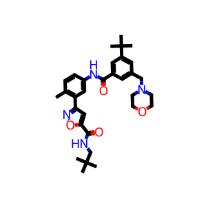 Cc1ccc(NC(=O)c2cc(CN3CCOCC3)cc(C(C)(C)C)c2)cc1-c1cc(C(=O)NCC(C)(C)C)on1